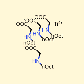 CCCCCCCCNCC(=O)[O-].CCCCCCCCNCC(=O)[O-].CCCCCCCCNCC(=O)[O-].CCCCCCCCNCC(=O)[O-].[Ti+4]